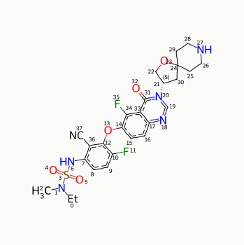 CCN(C)S(=O)(=O)Nc1ccc(F)c(Oc2ccc3ncn([C@@H]4COC5(CCNCC5)C4)c(=O)c3c2F)c1C#N